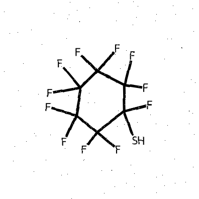 FC1(F)C(F)(F)C(F)(F)C(F)(S)C(F)(F)C1(F)F